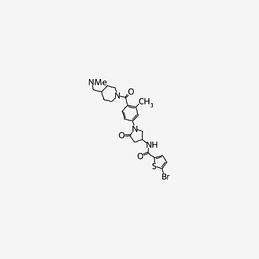 CNCC1CCN(C(=O)c2ccc(N3CC(NC(=O)c4ccc(Br)s4)CC3=O)cc2C)CC1